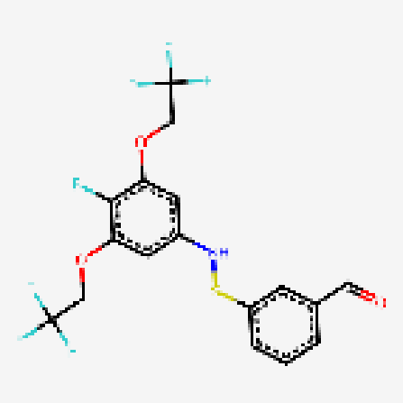 O=Cc1cccc(SNc2cc(OCC(F)(F)F)c(F)c(OCC(F)(F)F)c2)c1